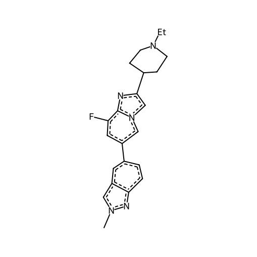 CCN1CCC(c2cn3cc(-c4ccc5nn(C)cc5c4)cc(F)c3n2)CC1